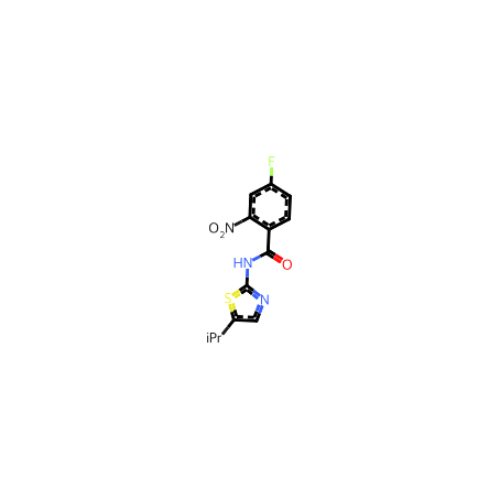 CC(C)c1cnc(NC(=O)c2ccc(F)cc2[N+](=O)[O-])s1